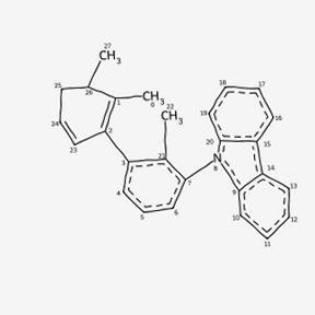 CC1=C(c2cccc(-n3c4ccccc4c4ccccc43)c2C)C=CCC1C